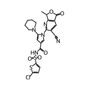 CC1OC(=O)c2cc(C#N)c(-n3cc(C(=O)NS(=O)(=O)c4ccc(Cl)s4)cc3N3CCCCC3)nc21